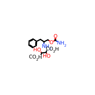 NC(=O)OCC(N)Cc1ccccc1.O=C(O)C(O)C(O)C(=O)O